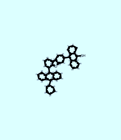 Sc1c2ccccc2c(-c2ccc3c(c2)oc2c(-c4c5ccccc5c(-c5ccccc5)c5ccccc45)cccc23)c2ccccc12